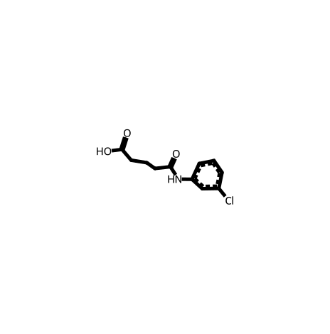 O=C(O)CCCC(=O)Nc1cccc(Cl)c1